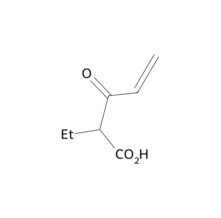 C=CC(=O)C(CC)C(=O)O